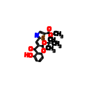 COC(=O)c1cnc(/C=C(\C(=O)OC(C)(C)C)C(=O)c2ccccc2O)s1